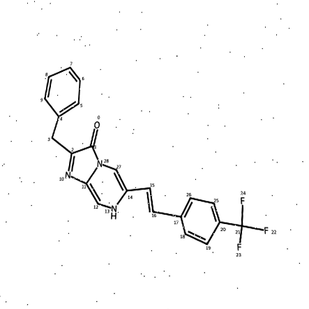 O=c1c(Cc2ccccc2)nc2c[nH]c(/C=C/c3ccc(C(F)(F)F)cc3)cn1-2